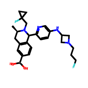 C[C@@H]1Cc2cc(B(O)O)ccc2C(c2ccc(NC3CN(CCCF)C3)cn2)N1CC1(F)CC1